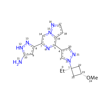 CC[C@]1(n2cc(-c3nc(-c4cc(N)[nH]n4)cn4nccc34)cn2)C[C@H](OC)C1